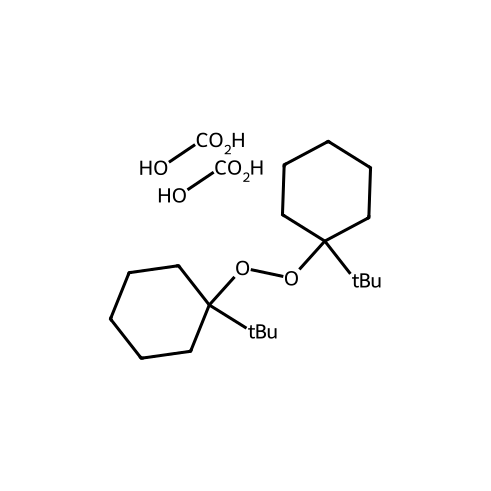 CC(C)(C)C1(OOC2(C(C)(C)C)CCCCC2)CCCCC1.O=C(O)O.O=C(O)O